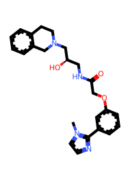 Cn1ccnc1-c1cccc(OCC(=O)NC[C@@H](O)CN2CCc3ccccc3C2)c1